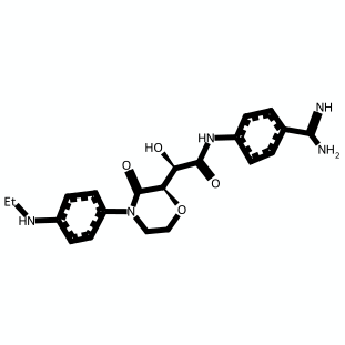 CCNc1ccc(N2CCO[C@H]([C@@H](O)C(=O)Nc3ccc(C(=N)N)cc3)C2=O)cc1